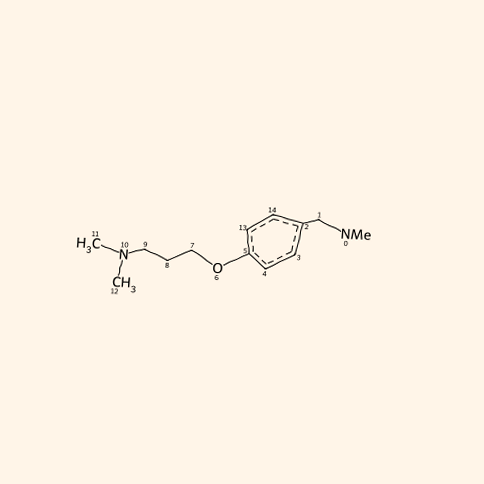 CNCc1ccc(OCCCN(C)C)cc1